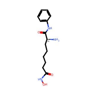 N[C@@H](CCCCCC(=O)NO)C(=O)Nc1ccccc1